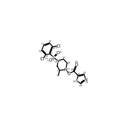 CC1CN(S(=O)(=O)c2c(Cl)cccc2Cl)CCN1OC(=O)c1cncs1